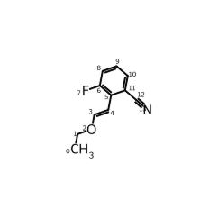 CCO/C=C/c1c(F)cccc1C#N